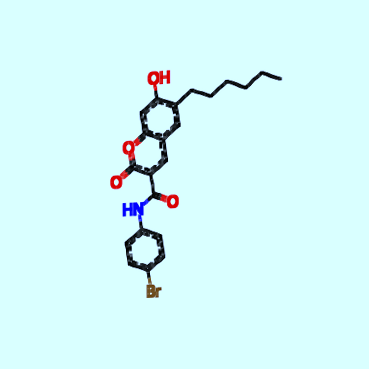 CCCCCCc1cc2cc(C(=O)Nc3ccc(Br)cc3)c(=O)oc2cc1O